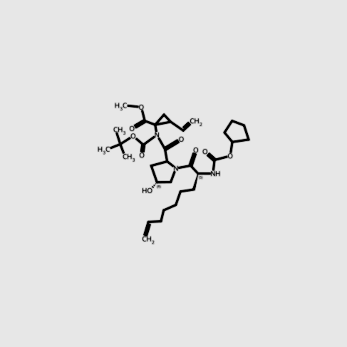 C=CCCCCC[C@H](NC(=O)OC1CCCC1)C(=O)N1C[C@H](O)CC1C(=O)N(C(=O)OC(C)(C)C)C1(C(=O)OC)CC1C=C